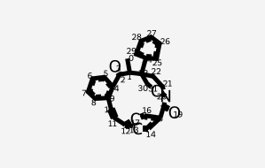 CC1C(=O)c2ccccc2C#Cc2ccc(cc2)C(=O)N2CCC1(c1ccccc1)CC2